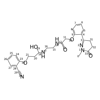 CN1N=C(c2ccccc2OCC(=O)NCCNC(O)CCOc2ccccc2C#N)CCC1=O